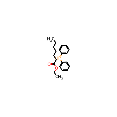 CCCCCCC(=O)OCC.c1ccc(Pc2ccccc2)cc1